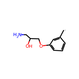 [CH2]c1cccc(OCC(O)CN)c1